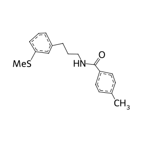 CSc1cccc(CCCNC(=O)c2ccc(C)cc2)c1